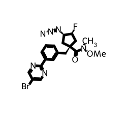 CON(C)C(=O)[C@@]1(Cc2cccc(-c3ncc(Br)cn3)c2)C[C@H](F)[C@H](N=[N+]=[N-])C1